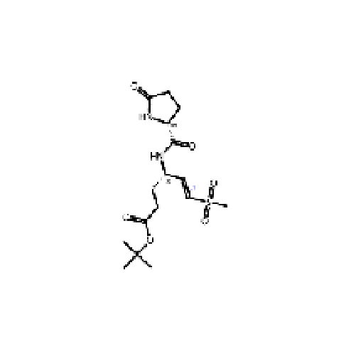 CC(C)(C)OC(=O)CC[C@@H](/C=C/S(C)(=O)=O)NC(=O)[C@H]1CCC(=O)N1